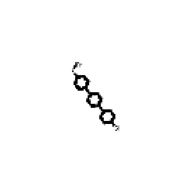 CC(C)Sc1ccc(-c2ccc(-c3ccc(S)cc3)cc2)cc1